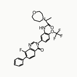 CC(C(=O)Nc1cc(-n2cnc3c(F)c(-c4ccccc4)ccc3c2=O)ccc1OC(F)(F)F)N1CCCOCC1